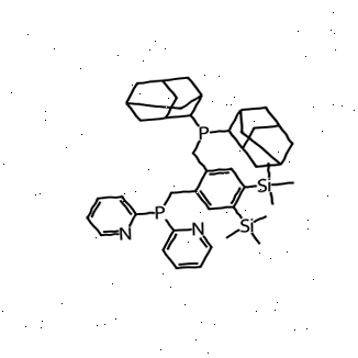 C[Si](C)(C)c1cc(CP(c2ccccn2)c2ccccn2)c(CP(C2C3CC4CC(C3)CC2C4)C2C3CC4CC(C3)CC2C4)cc1[Si](C)(C)C